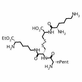 CCCCC[C@H](N)C(=O)N[C@@H](CSSC[C@H](NC(=O)[C@@H](N)CCCCN)C(=O)O)C(=O)NCCCC[C@H](N)C(=O)OCC